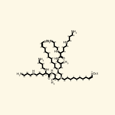 CCCCCCCC/C=C\CCCCCCCCN(CCN(CCCCCCCC/C=C\CCCCCCCC)CC(C)CNC(=O)C(CCCNCCCN)NCCCN)CC(C)CNC(=O)C(CCCNCCCN)NCCCN